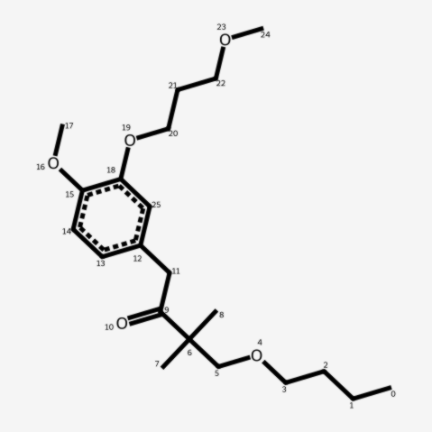 CCCCOCC(C)(C)C(=O)Cc1ccc(OC)c(OCCCOC)c1